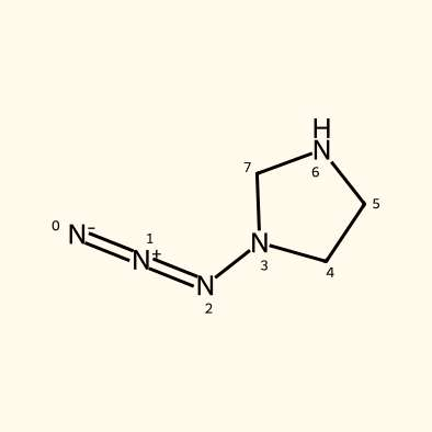 [N-]=[N+]=NN1CCNC1